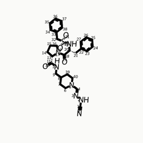 N#CNN=CN1CCC(CNC(=O)[C@@H]2CCCN2C(=O)[C@@H](Cc2ccccc2)NS(=O)(=O)Cc2ccccc2)CC1